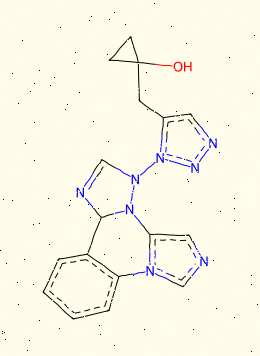 OC1(Cc2cnnn2N2C=NC3c4ccccc4-n4cncc4N32)CC1